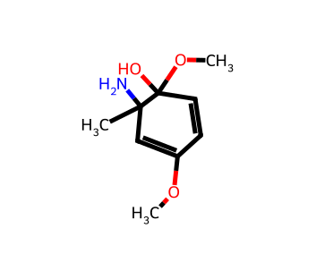 COC1=CC(C)(N)C(O)(OC)C=C1